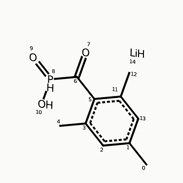 Cc1cc(C)c(C(=O)[PH](=O)O)c(C)c1.[LiH]